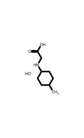 CC1CCC(NCC(=O)O)CC1.Cl